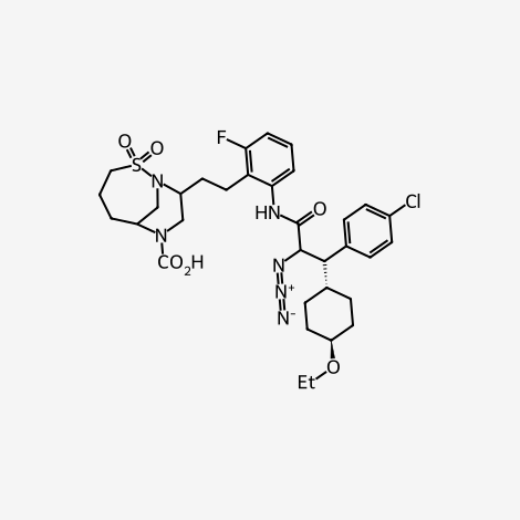 CCO[C@H]1CC[C@H](C(c2ccc(Cl)cc2)C(N=[N+]=[N-])C(=O)Nc2cccc(F)c2CCC2CN(C(=O)O)C3CCCS(=O)(=O)N2C3)CC1